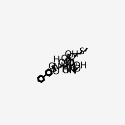 CCSCCCO[C@]1(C(=O)O)C[C@H](O)[C@@H](NC(C)=O)C([C@H](O)[C@H](O)CNS(=O)(=O)c2ccc(-c3ccccc3)cc2)O1